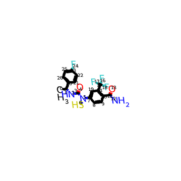 CC(NC(=O)N(S)c1ccc(C(N)=O)c(C(F)(F)F)c1)c1ccc(F)cc1